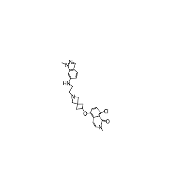 Cn1ccc2c(OC3CC4(C3)CN(CCNc3ccc5cnn(C)c5c3)C4)ccc(Cl)c2c1=O